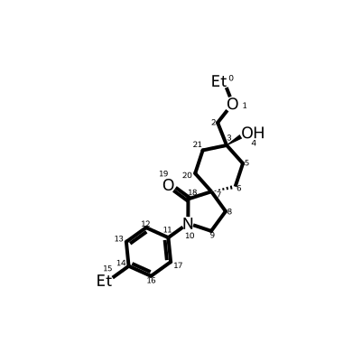 CCOC[C@]1(O)CC[C@@]2(CCN(c3ccc(CC)cc3)C2=O)CC1